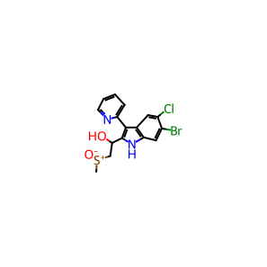 C[S+]([O-])CC(O)c1[nH]c2cc(Br)c(Cl)cc2c1-c1ccccn1